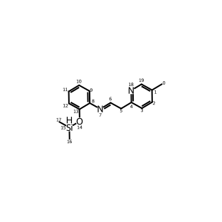 Cc1ccc(CC=Nc2ccccc2O[SiH](C)C)nc1